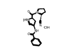 Cl.N#C[C@@H]1CCCN1C(=O)C1CC(NC(=O)c2ccccc2)CN1